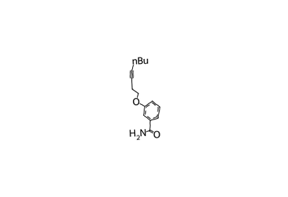 CCCCC#CCCOc1cccc(C(N)=O)c1